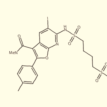 CNC(=O)c1c(-c2ccc(C)cc2)oc2nc(NS(=O)(=O)CCCCS(C)(=O)=O)c(I)cc12